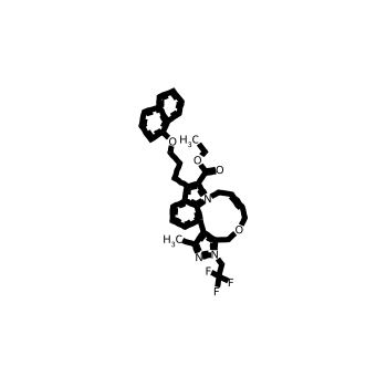 CCOC(=O)c1c(CCCOc2cccc3ccccc23)c2cccc3c2n1C/C=C\COCc1c-3c(C)nn1CC(F)(F)F